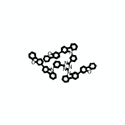 c1cc(-c2nc(-c3cccc(-n4c5ccccc5c5ccc(-c6ccc7c(c6)oc6ccccc67)cc54)c3)nc(-n3c4ccccc4c4ccc(-c5ccc6c(c5)oc5ccccc56)cc43)n2)cc(-n2c3ccccc3c3ccc(-c4ccc5c(c4)oc4ccccc45)cc32)c1